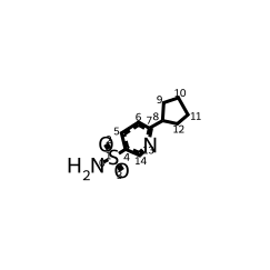 NS(=O)(=O)c1ccc(C2CCCC2)nc1